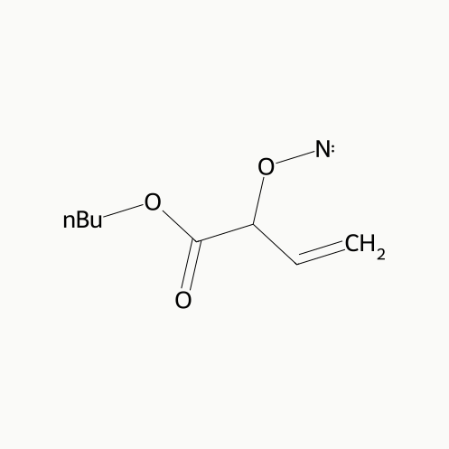 C=CC(O[N])C(=O)OCCCC